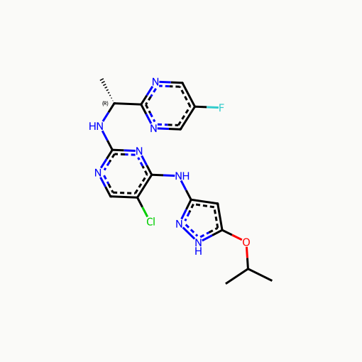 CC(C)Oc1cc(Nc2nc(N[C@H](C)c3ncc(F)cn3)ncc2Cl)n[nH]1